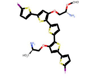 N[C@H](COc1cc(-c2ccc(I)s2)sc1-c1ccc(-c2sc(-c3ccc(I)s3)cc2OC[C@H](N)C(=O)O)s1)OC=O